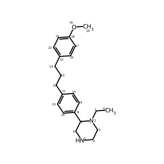 CCN1CCNCC1c1ccc(CCCc2ccc(OC)cc2)cc1